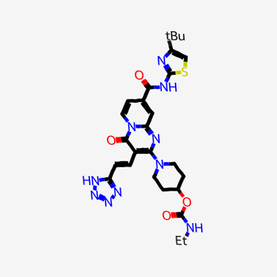 [CH2]CNC(=O)OC1CCN(c2nc3cc(C(=O)Nc4nc(C(C)(C)C)cs4)ccn3c(=O)c2C=Cc2nnn[nH]2)CC1